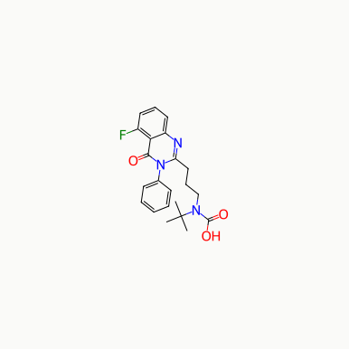 CC(C)(C)N(CCCc1nc2cccc(F)c2c(=O)n1-c1ccccc1)C(=O)O